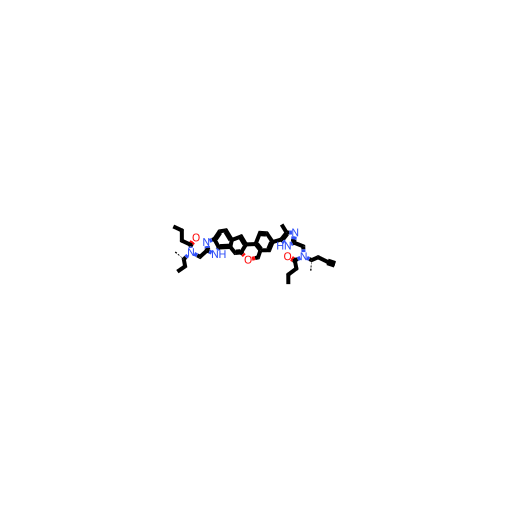 C#CC[C@H](C)N(Cc1nc(C)c(-c2ccc3c(c2)COc2cc4c(ccc5nc(CN(C(=O)CCC)[C@@H](C)CC)[nH]c54)cc2-3)[nH]1)C(=O)CCC